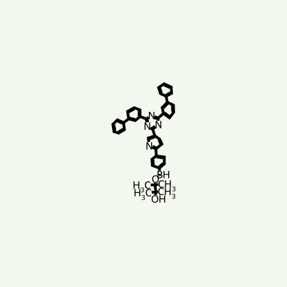 CC(C)(O)C(C)(C)OBc1ccc(-c2ccc(-c3nc(-c4cccc(-c5ccccc5)c4)nc(-c4cccc(-c5ccccc5)c4)n3)cn2)cc1